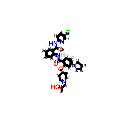 CC(O)CN1CCC(Oc2cc(N3CCCC3)ccc2C(=O)Nc2ccccc2C(=O)Nc2ccc(Cl)cn2)CC1